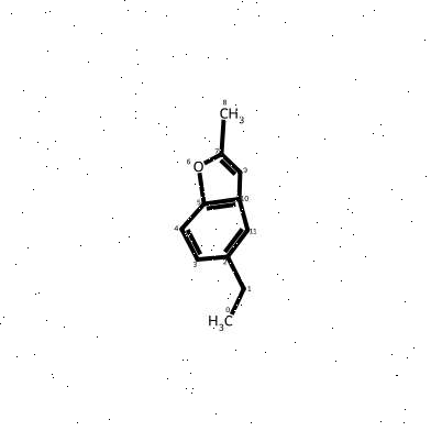 CCc1ccc2oc(C)cc2c1